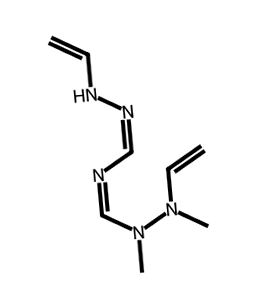 C=CN/N=C\N=C/N(C)N(C)C=C